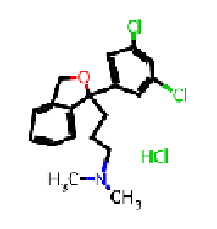 CN(C)CCCC1(c2cc(Cl)cc(Cl)c2)OCc2ccccc21.Cl